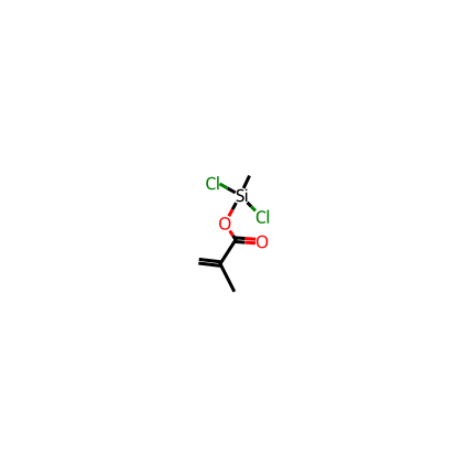 C=C(C)C(=O)O[Si](C)(Cl)Cl